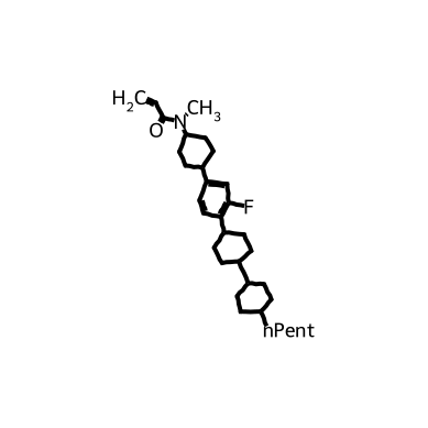 C=CC(=O)N(C)C1CCC(c2ccc(C3CCC(C4CCC(CCCCC)CC4)CC3)c(F)c2)CC1